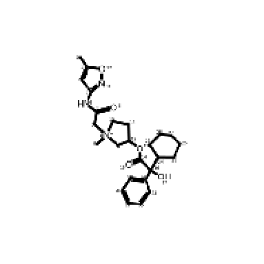 Cc1cc(NC(=O)C[N+]2(C)CCC(OC(=O)C(O)(c3ccccc3)C3CCCCC3)C2)no1